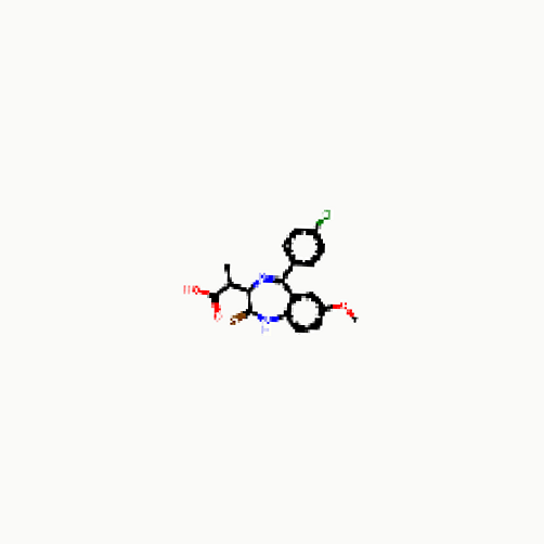 COc1ccc2c(c1)C(c1ccc(Cl)cc1)=NC(C(C)C(=O)O)C(=S)N2